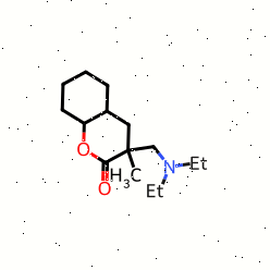 CCN(CC)CC1(C)CC2CCCCC2OC1=O